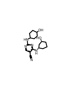 N#Cc1cnc(NC2CCC(O)CC2)nc1N[C@@H]1CCC[C@H](O)C1